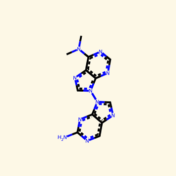 CN(C)c1ncnc2c1ncn2-n1cnc2cnc(N)nc21